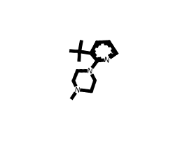 CN1CCN(c2ncccc2C(C)(C)C)CC1